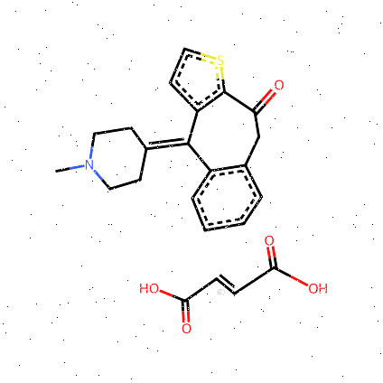 CN1CCC(=C2c3ccccc3CC(=O)c3sccc32)CC1.O=C(O)/C=C/C(=O)O